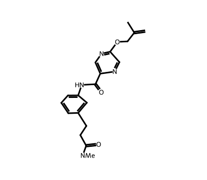 C=C(C)COc1cnc(C(=O)Nc2cccc(CCC(=O)NC)c2)cn1